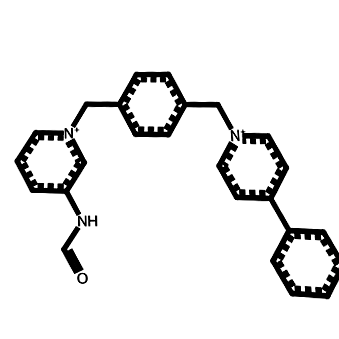 O=CNc1ccc[n+](Cc2ccc(C[n+]3ccc(-c4ccccc4)cc3)cc2)c1